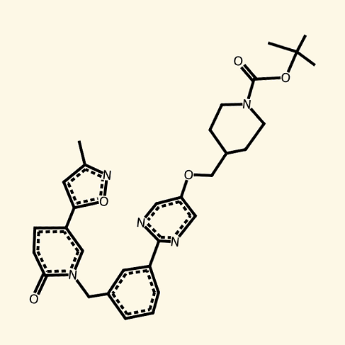 Cc1cc(-c2ccc(=O)n(Cc3cccc(-c4ncc(OCC5CCN(C(=O)OC(C)(C)C)CC5)cn4)c3)c2)on1